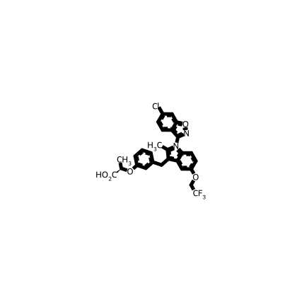 Cc1c(Cc2cccc(O[C@@H](C)C(=O)O)c2)c2cc(OCC(F)(F)F)ccc2n1-c1noc2cc(Cl)ccc12